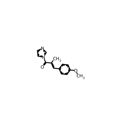 COc1ccc(/C=C(\C)C(=O)n2ccnc2)cc1